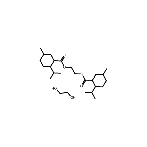 CC1CCC(C(C)C)C(C(=O)OCCOC(=O)C2CC(C)CCC2C(C)C)C1.OCCO